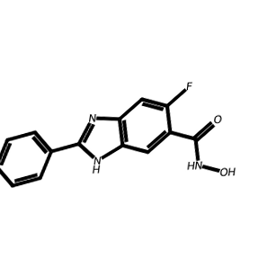 O=C(NO)c1cc2[nH]c(-c3ccccc3)nc2cc1F